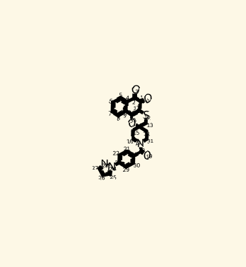 O=C1C(=O)c2ccccc2C2=C1SCC1(CCN(C(=O)c3ccc(-n4cccn4)cc3)CC1)O2